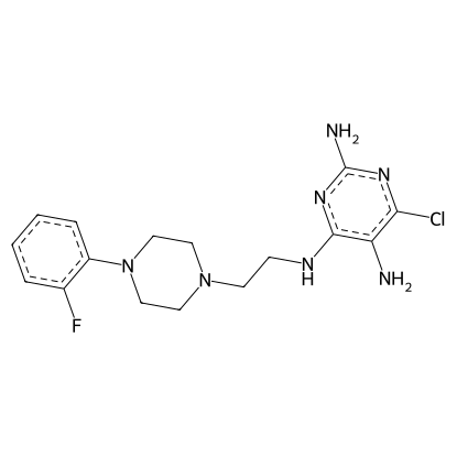 Nc1nc(Cl)c(N)c(NCCN2CCN(c3ccccc3F)CC2)n1